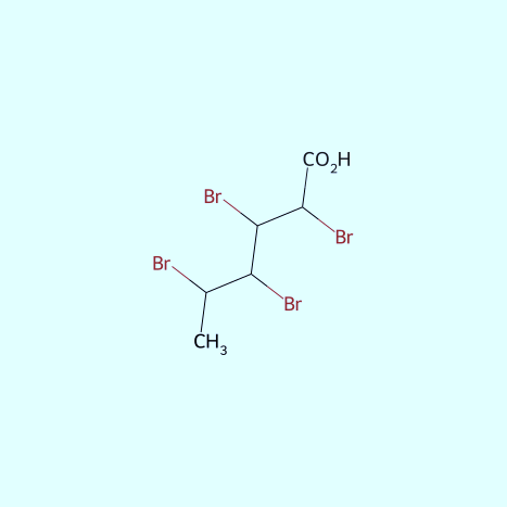 CC(Br)C(Br)C(Br)C(Br)C(=O)O